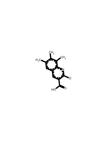 Cc1cc2cc(C(=O)O)c(Cl)nc2c(C)c1C